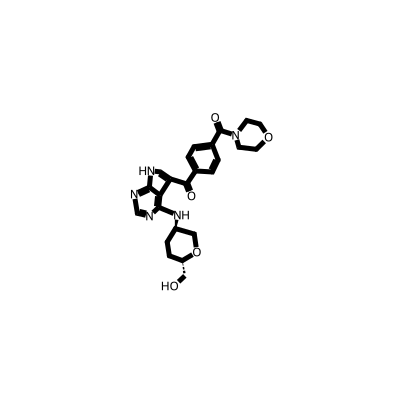 O=C(c1ccc(C(=O)N2CCOCC2)cc1)c1c[nH]c2ncnc(N[C@@H]3CC[C@@H](CO)OC3)c12